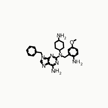 COc1ccc(N)c(CN(c2nc(N)c3ncn(Cc4ccccc4)c3n2)C2CCC(N)CC2)c1